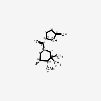 CO[C@@H]1[C@H](F)CN(C(=O)[C@@H]2CCC(=O)N2)CC1(C)C